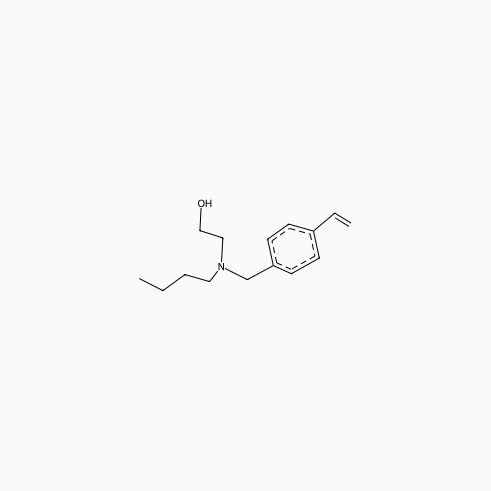 C=Cc1ccc(CN(CCO)CCCC)cc1